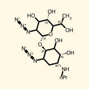 CCCN[C@@H]1CC(N=[N+]=[N-])[C@@H](O[C@H]2OC([C@@H](C)O)[C@@H](O)C(O)C2N=[N+]=[N-])C(O)[C@@H]1O